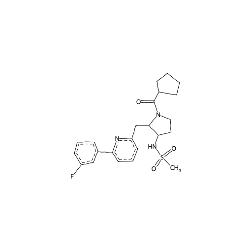 CS(=O)(=O)NC1CCN(C(=O)C2CCCC2)C1Cc1cccc(-c2cccc(F)c2)n1